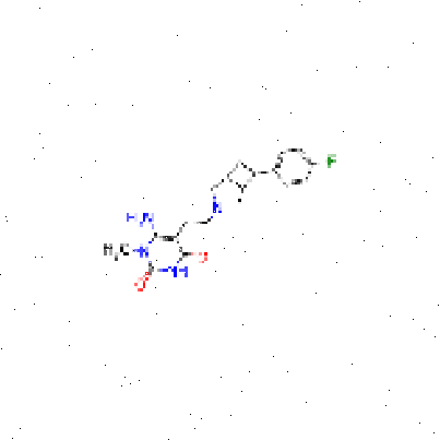 Cn1c(N)c(CCN2CC3CC(c4ccc(F)cc4)C3C2)c(=O)[nH]c1=O